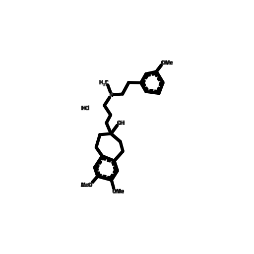 COc1cccc(CCN(C)CCCC2(O)CCc3cc(OC)c(OC)cc3CC2)c1.Cl